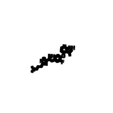 Cc1c[nH]c2nccc(Oc3ccc(C[C@H](N)c4nc(CCCN(C)C)no4)cc3F)c12